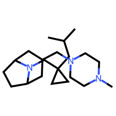 CC(C)CC1(CN2C3CCC2CC(CN2CCN(C)CC2)C3)CC1